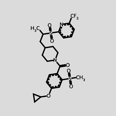 CC(CC1CCN(C(=O)c2ccc(OC3CC3)cc2S(C)(=O)=O)CC1)S(=O)(=O)c1cccc(C(F)(F)F)n1